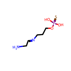 NCC=NCCCOP(O)(O)=S